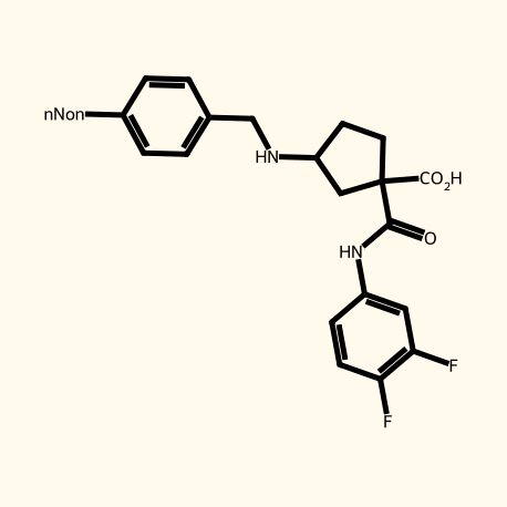 CCCCCCCCCc1ccc(CNC2CCC(C(=O)O)(C(=O)Nc3ccc(F)c(F)c3)C2)cc1